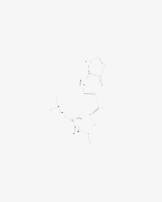 CC(CC=Cc1cnc2occc2c1)N(C)C(=O)OC(C)(C)C